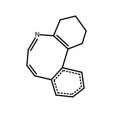 C1=Cc2ccccc2C2=C(CCCC2)N=C1